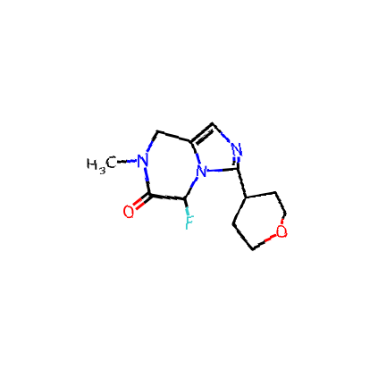 CN1Cc2cnc(C3CCOCC3)n2C(F)C1=O